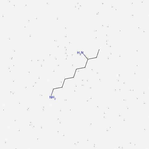 CCC(N)CCCCCCN